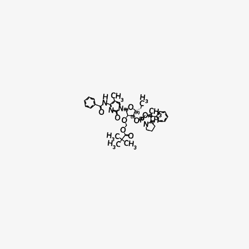 CC[C@H]1O[C@@H](n2cc(C)c(NC(=O)c3ccccc3)nc2=O)C(OCOC(=O)C(C)(C)C)[C@H]1O[P@@]1O[C@](C)(c2ccccc2)[C@@H]2CCCN21